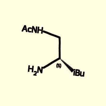 CCC(C)[C@H](N)CNC(C)=O